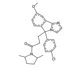 COc1ccc2c(c1)-c1nccn1C2(CCC(=O)N1C(C)CCC1C)c1ccc(Cl)cc1